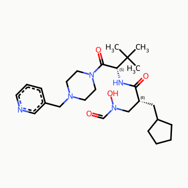 CC(C)(C)[C@H](NC(=O)[C@H](CC1CCCC1)CN(O)C=O)C(=O)N1CCN(Cc2cccnc2)CC1